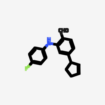 O=Cc1ccc(C2C=CCC2)cc1Nc1ccc(F)cc1